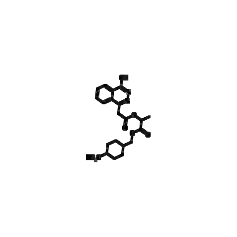 CC(OC(=O)Cc1nnc(O)c2ccccc12)C(=O)OCC1CCC(C(=O)O)CC1